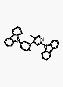 Cc1ccc(-n2c3ccccc3c3ccccc32)cc1-c1cc(-n2c3ccccc3c3ccccc32)ncc1C